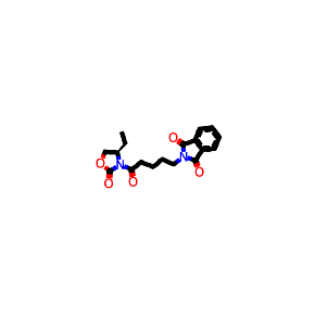 CC[C@@H]1COC(=O)N1C(=O)CCCCN1C(=O)c2ccccc2C1=O